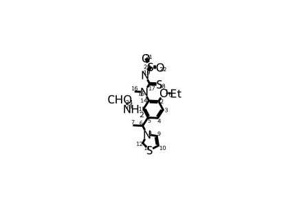 CCOc1ccc(C(C)N2C=CSC2)cc1N(C)C(=S)N=S(=O)=O.NC=O